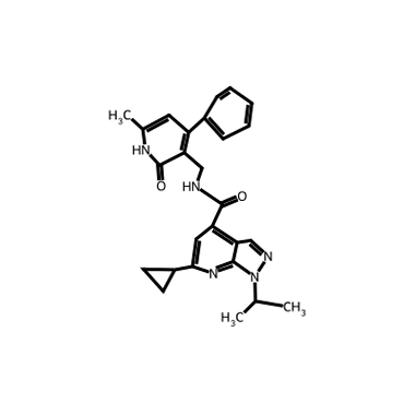 Cc1cc(-c2ccccc2)c(CNC(=O)c2cc(C3CC3)nc3c2cnn3C(C)C)c(=O)[nH]1